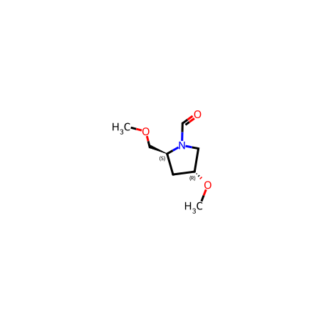 COC[C@@H]1C[C@@H](OC)CN1C=O